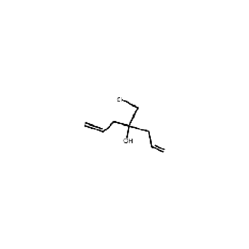 C=CCC(O)(CCl)CC=C